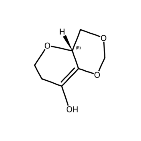 OC1=C2OCOC[C@H]2OCC1